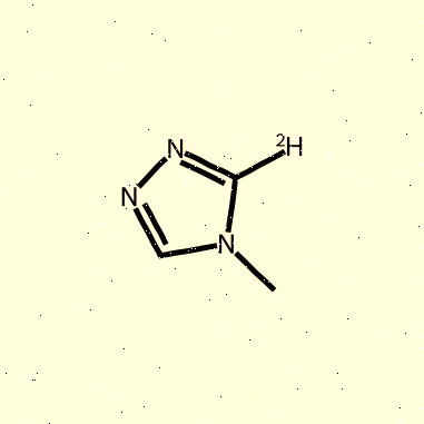 [2H]c1nncn1C